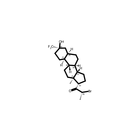 C[C@@H](Br)C(=O)[C@H]1CC[C@H]2[C@@H]3CC[C@@H]4C[C@@](O)(C(F)(F)F)CC[C@@H]4[C@H]3CC[C@]12C